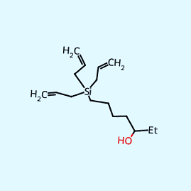 C=CC[Si](CC=C)(CC=C)CCCCC(O)CC